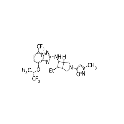 CC[C@@H]1C2CN(c3cc(C)no3)C[C@H]2[C@@H]1Nc1nc2c(OC(C)C(F)(F)F)ccc(C(F)(F)F)n2n1